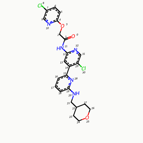 O=C(COc1ccc(Cl)cn1)Nc1cc(-c2cccc(NCC3CCOCC3)n2)c(Cl)cn1